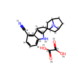 CCCN1C2CCC1CC(c1cc3c(C#N)cccc3[nH]1)C2.O=C(O)C(=O)O